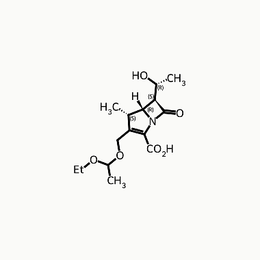 CCOC(C)OCC1=C(C(=O)O)N2C(=O)[C@H]([C@@H](C)O)[C@H]2[C@H]1C